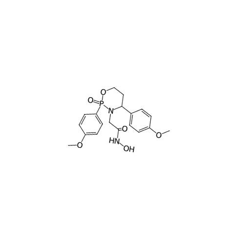 COc1ccc(C2CCOP(=O)(c3ccc(OC)cc3)N2CC(=O)NO)cc1